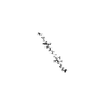 CC(C)OCOCCNC(=O)NCCCCCCNC(=O)NCCOCOC(C)C